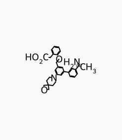 C[C@@H](N)c1cccc(-c2cc(COc3ccccc3CC(=O)O)cc(N3CCC4(CC3)COC4)c2)c1